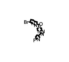 O=C(c1cc2ccc(Br)cn2n1)N1CCn2c(nnc2-c2ccc(F)nc2)C1